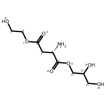 N[C@@H](CC(=O)OCCO)C(=O)OCC(O)CO